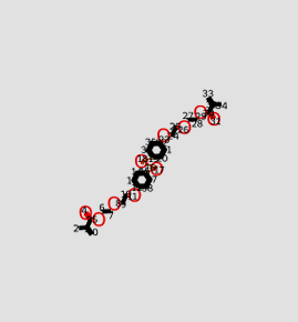 C=C(C)C(=O)OCCOCCOc1ccc(S(=O)(=O)c2ccc(OCCOCCOC(=O)C(=C)C)cc2)cc1